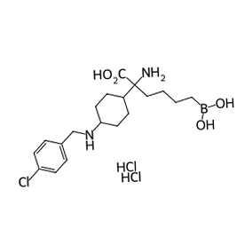 Cl.Cl.NC(CCCCB(O)O)(C(=O)O)C1CCC(NCc2ccc(Cl)cc2)CC1